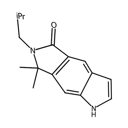 CC(C)CN1C(=O)c2cc3cc[nH]c3cc2C1(C)C